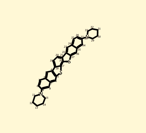 c1cc2cc3c(cc2cc1N1CCCCC1)sc1c3ccc2c3cc4ccc(N5CCCCC5)cc4cc3sc21